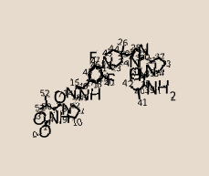 COC(=O)N[C@H](C(=O)N1CCC[C@H]1c1ncc(-c2cc(F)c(N3CCC(C)(c4cnc([C@@H]5CCCN5C(=O)[C@@H](N)C(C)C)[nH]4)CC3)c(F)c2)[nH]1)C(C)C